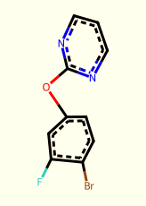 Fc1cc(Oc2ncccn2)ccc1Br